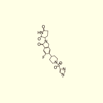 Cn1cnc(S(=O)(=O)N2CCC(c3cc4c(cc3F)C(=O)N(C3CCC(=O)NC3=O)C4)CC2)c1